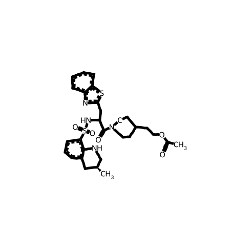 CC(=O)OCCC1CCN(C(=O)C(Cc2nc3ccccc3s2)NS(=O)(=O)c2cccc3c2NC[C@@H](C)C3)CC1